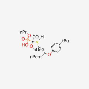 CCCCCCCCCCOC(SCCC(CCCCC)Oc1ccc(C(C)(C)C)cc1)(C(=O)O)P(=O)(O)OCCC